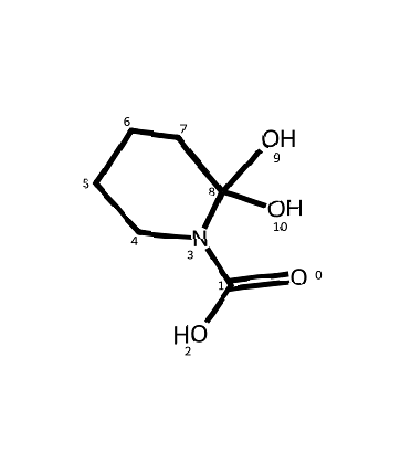 O=C(O)N1CCCCC1(O)O